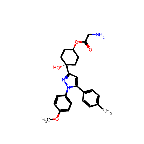 COc1ccc(-n2nc([C@]3(O)CC[C@H](OC(=O)CN)CC3)cc2-c2ccc(C)cc2)cc1